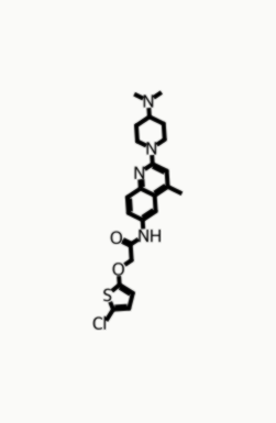 Cc1cc(N2CCC(N(C)C)CC2)nc2ccc(NC(=O)COc3ccc(Cl)s3)cc12